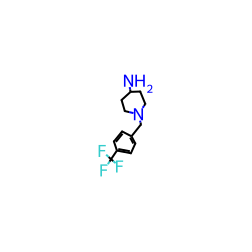 NC1CCN(Cc2ccc(C(F)(F)F)cc2)CC1